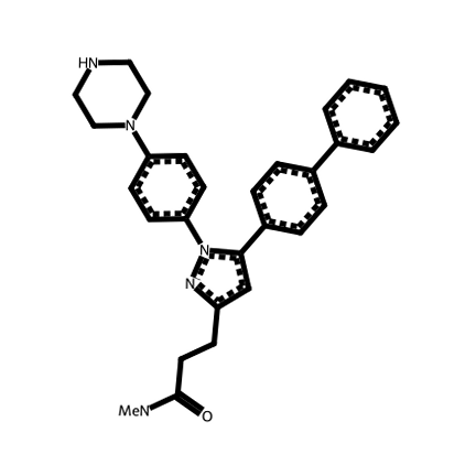 CNC(=O)CCc1cc(-c2ccc(-c3ccccc3)cc2)n(-c2ccc(N3CCNCC3)cc2)n1